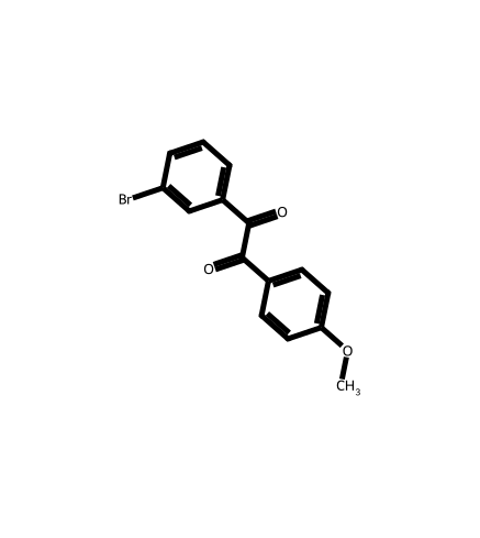 COc1ccc(C(=O)C(=O)c2cccc(Br)c2)cc1